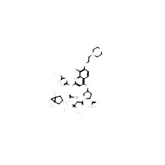 Cc1nnc(Oc2cc(OC3C[C@@H](C(N)=O)N(C(=O)[C@@H](NC(=O)O[C@@H]4C[C@@H]5C[C@@H]5C4)C(C)(C)C)C3)c3ccc(OCCN4CCOCC4)c(Cl)c3n2)s1